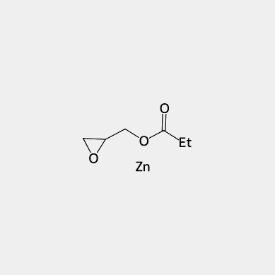 CCC(=O)OCC1CO1.[Zn]